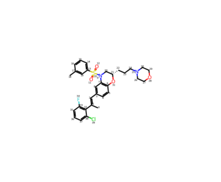 C/C(=C\c1ccc2c(c1)N(S(=O)(=O)c1cccc(C)c1)C[C@H](CCCN1CCOCC1)O2)c1c(F)cccc1Cl